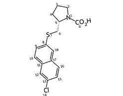 O=C(O)N1CCC[C@H]1CSc1ccc2cc(Cl)ccc2c1